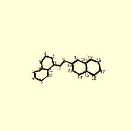 [CH](CC1CCCC2CCCCC12)C1CCC2CCCCC2C1